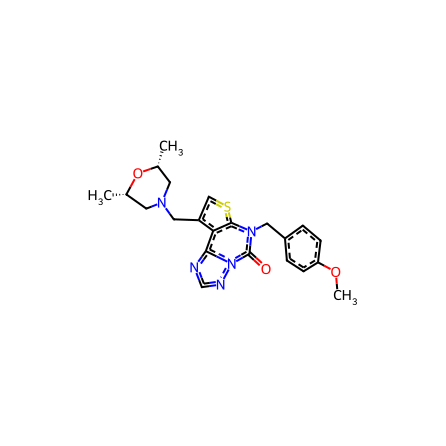 COc1ccc(Cn2c(=O)n3ncnc3c3c(CN4C[C@@H](C)O[C@@H](C)C4)csc32)cc1